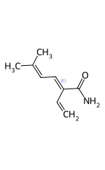 C=C/C(=C\C=C(C)C)C(N)=O